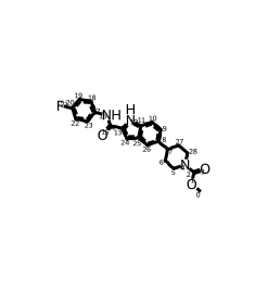 COC(=O)N1CCC(c2ccc3[nH]c(C(=O)Nc4ccc(F)cc4)cc3c2)CC1